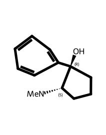 CN[C@H]1CCC[C@@]1(O)c1ccccc1